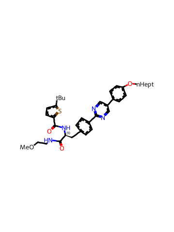 CCCCCCCOc1ccc(-c2cnc(-c3ccc(C[C@H](NC(=O)c4ccc(C(C)(C)C)s4)C(=O)NCCOC)cc3)nc2)cc1